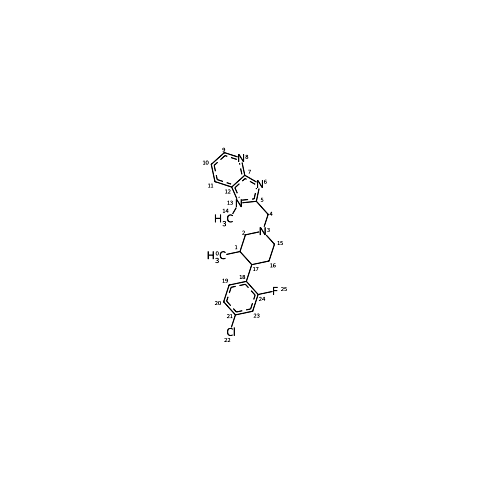 CC1CN(Cc2nc3ncccc3n2C)CCC1c1ccc(Cl)cc1F